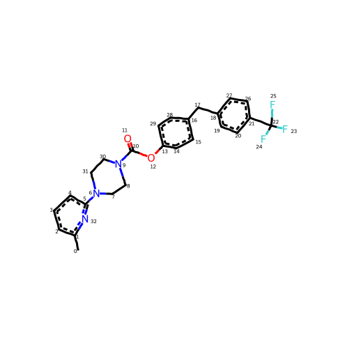 Cc1cccc(N2CCN(C(=O)Oc3ccc(Cc4ccc(C(F)(F)F)cc4)cc3)CC2)n1